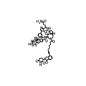 CC(C)(C)c1ccc(-c2cnc(C(CCC(N)=O)NC(=O)[C@@H]3CC[C@@H]4CCN(C(=O)CCCCCC#Cc5cccc6c5CN(C5CCC(=O)NC5=O)C6=O)C[C@H](NC(=O)c5cc6cc(C(F)(F)P(=O)(O)O)ccc6s5)C(=O)N43)s2)cc1